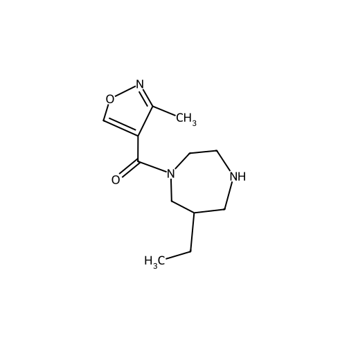 CCC1CNCCN(C(=O)c2conc2C)C1